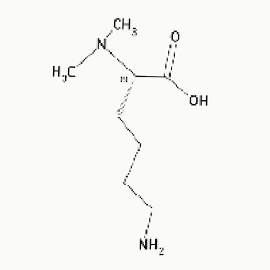 CN(C)[C@@H](CCCCN)C(=O)O